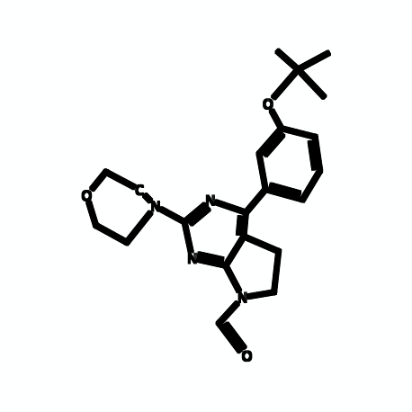 CC(C)(C)Oc1cccc(-c2nc(N3CCOCC3)nc3c2CCN3C=O)c1